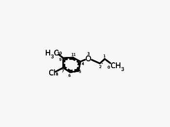 CC[CH]Oc1ccc(Cl)c(C)c1